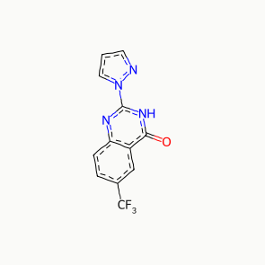 O=c1[nH]c(-n2cccn2)nc2ccc(C(F)(F)F)cc12